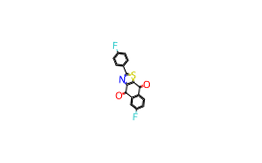 O=C1c2cc(F)ccc2C(=O)c2sc(-c3ccc(F)cc3)nc21